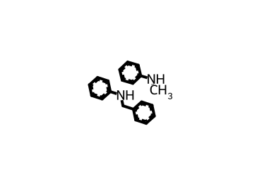 CNc1ccccc1.c1ccc(CNc2ccccc2)cc1